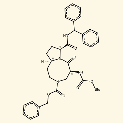 CC(C)(C)OC(=O)N[C@H]1CN(C(=O)OCc2ccccc2)CC[C@H]2CC[C@@H](C(=O)NC(c3ccccc3)c3ccccc3)N2C1=O